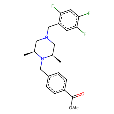 COC(=O)c1ccc(CN2[C@H](C)CN(Cc3cc(F)c(F)cc3F)C[C@@H]2C)cc1